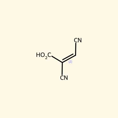 N#C/C=C(/C#N)C(=O)O